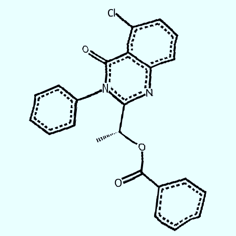 C[C@@H](OC(=O)c1ccccc1)c1nc2cccc(Cl)c2c(=O)n1-c1ccccc1